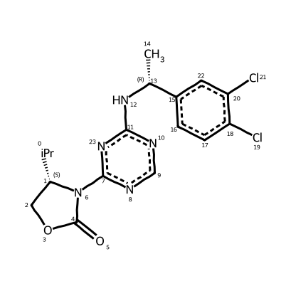 CC(C)[C@H]1COC(=O)N1c1ncnc(N[C@H](C)c2ccc(Cl)c(Cl)c2)n1